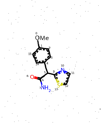 COc1ccc(C(C(N)=O)c2nccs2)cc1